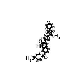 CN1CCN(C(=O)c2ccc3cc(-c4csc(N(C)S(=O)(=O)c5ccccc5)n4)c(=O)[nH]c3c2)CC1